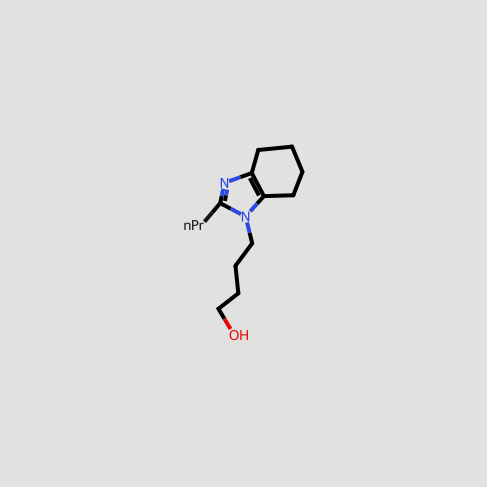 CCCc1nc2c(n1CCCCO)CCCC2